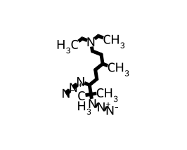 CCN(CC)CCC(C)CCC(N=[N+]=[N-])C(C)(C)N=[N+]=[N-]